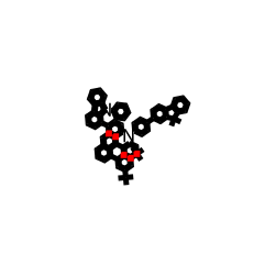 CC(C)(C)c1cc(-c2cccc3cccc(-c4ccccc4N(c4ccc(-c5ccc6c(c5)C(C)(C)c5ccccc5-6)cc4)c4ccc(-c5cccc6c7ccccc7n(-c7ccccc7)c56)cc4)c23)cc(C(C)(C)C)c1